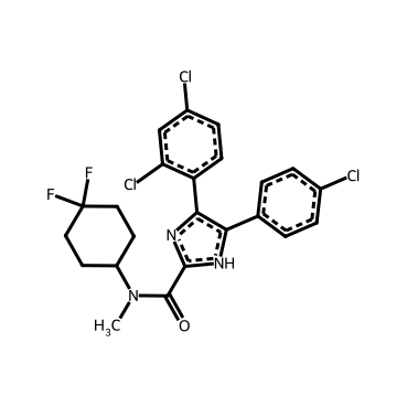 CN(C(=O)c1nc(-c2ccc(Cl)cc2Cl)c(-c2ccc(Cl)cc2)[nH]1)C1CCC(F)(F)CC1